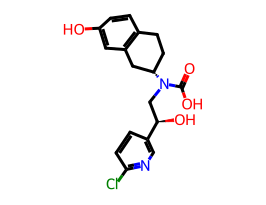 O=C(O)N(C[C@@H](O)c1ccc(Cl)nc1)[C@H]1CCc2ccc(O)cc2C1